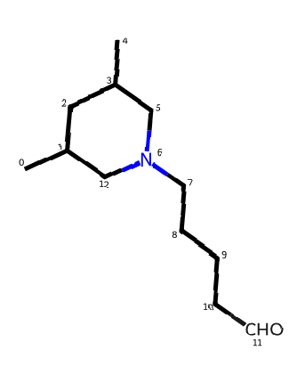 CC1CC(C)CN(CCCCC=O)C1